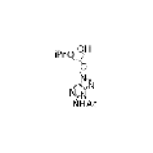 CC(=O)Nc1ncc2c(ncn2COC(CO)COC(C)C)n1